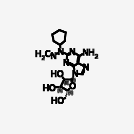 C=NN(c1nc(N)c2ncn([C@@H]3O[C@H](CO)[C@@H](O)[C@H]3O)c2n1)C1CCCCC1